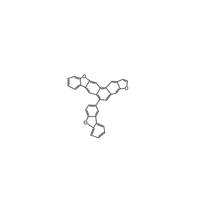 c1ccc2c(c1)oc1ccc(-c3cc4cc5occc5cc4c4cc5oc6ccccc6c5cc34)cc12